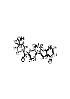 CSn1c(-c2ccc(C(=O)N3CCC(C)(O)CC3)cn2)cc2c(Cl)ccnc21